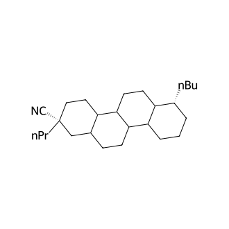 CCCC[C@@H]1CCCC2C3CCC4C[C@@](C#N)(CCC)CCC4C3CCC21